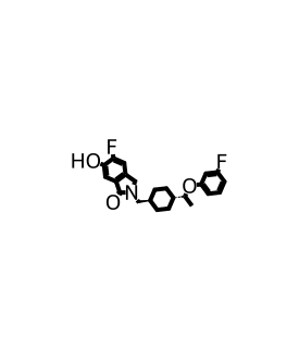 CC(Oc1cccc(F)c1)[C@H]1CC[C@H](CN2Cc3cc(F)c(O)cc3C2=O)CC1